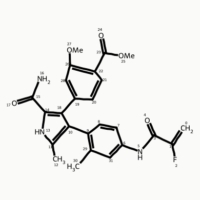 C=C(F)C(=O)Nc1ccc(-c2c(C)[nH]c(C(N)=O)c2-c2ccc(C(=O)OC)c(OC)c2)c(C)c1